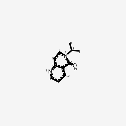 CC(C)n1ccc2ncccc2c1=O